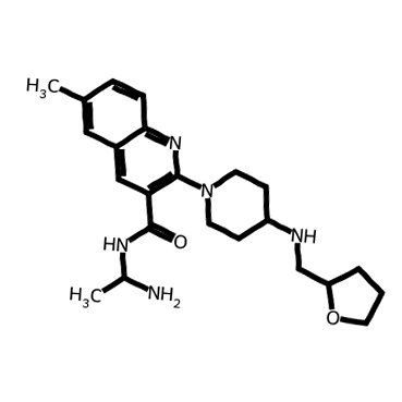 Cc1ccc2nc(N3CCC(NCC4CCCO4)CC3)c(C(=O)NC(C)N)cc2c1